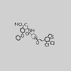 O=C(O)CC(NC(=O)C1CCN(C(=O)C=Cc2cc3ccsc3c(Cl)c2Cl)CC1)c1cccc(Oc2ccccc2)c1